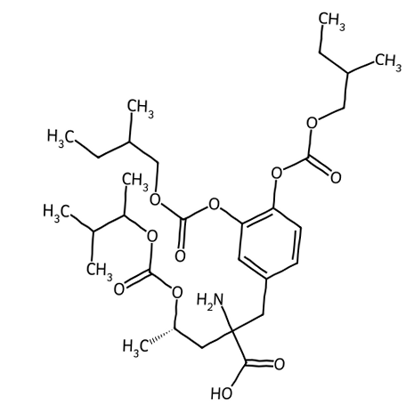 CCC(C)COC(=O)Oc1ccc(CC(N)(C[C@H](C)OC(=O)OC(C)C(C)C)C(=O)O)cc1OC(=O)OCC(C)CC